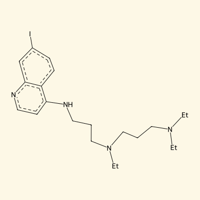 CCN(CC)CCCN(CC)CCCNc1ccnc2cc(I)ccc12